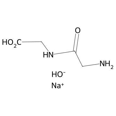 NCC(=O)NCC(=O)O.[Na+].[OH-]